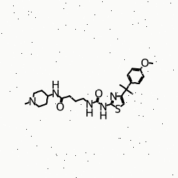 COc1ccc(C(C)(C)c2csc(NC(=O)NCCCC(=O)NC3CCN(C)CC3)n2)cc1